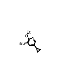 CCOc1ncc(C2CC2)cc1C(C)CC